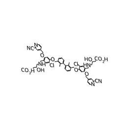 Cc1c(COc2cc(OCc3ccnc(C#N)c3)c(CNC[C@@H](O)CC(=O)O)cc2Cl)cccc1-c1cccc(COc2cc(OCc3ccnc(C#N)c3)c(CNC[C@@H](O)CC(=O)O)cc2Cl)c1C